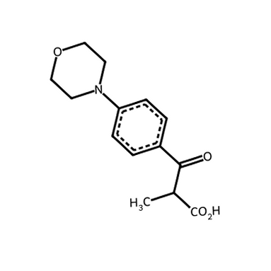 CC(C(=O)O)C(=O)c1ccc(N2CCOCC2)cc1